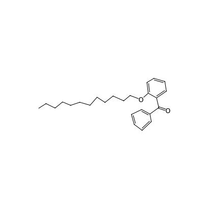 CCCCCCCCCCCCOc1ccccc1C(=O)c1ccccc1